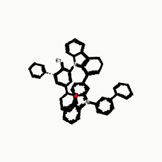 CCC1C(N2C3=C(CCC=C3c3ccc4c5ccccc5n(-c5cccc(C6=CCCC=C6)c5)c4c3)C3C=CC=CC32)=CC(C2C=CC=CC2)=C[C@@H]1C1=CCCC=C1